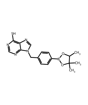 CC1OB(c2ccc(Cn3cnc4c(S)ncnc43)cc2)OC1(C)C